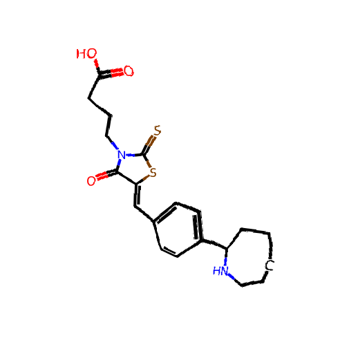 O=C(O)CCCN1C(=O)C(=Cc2ccc(C3CCCCCN3)cc2)SC1=S